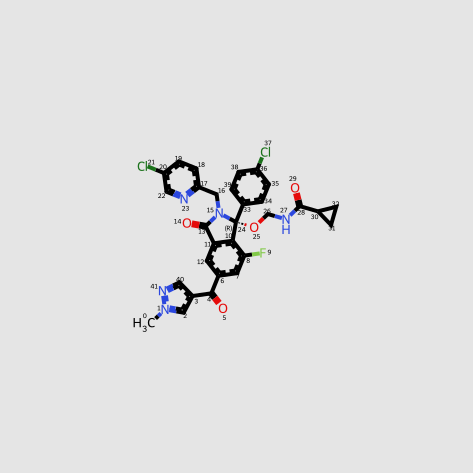 Cn1cc(C(=O)c2cc(F)c3c(c2)C(=O)N(Cc2ccc(Cl)cn2)[C@@]3(OCNC(=O)C2CC2)c2ccc(Cl)cc2)cn1